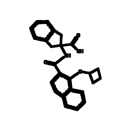 O=C(NC1(C(=O)O)Cc2ccccc2C1)c1ccc2ccccc2c1OC1CCC1